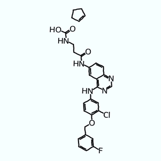 C1=CCCC1.O=C(O)NCCC(=O)Nc1ccc2ncnc(Nc3ccc(OCc4cccc(F)c4)c(Cl)c3)c2c1